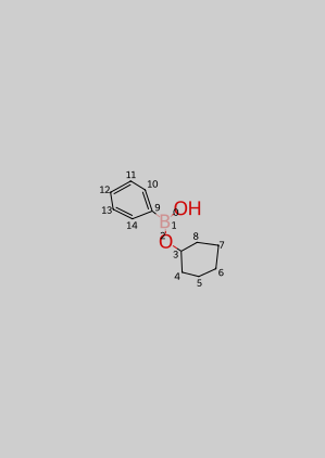 OB(OC1CCCCC1)c1ccccc1